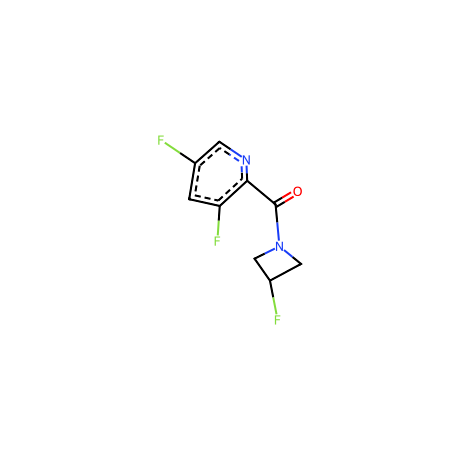 O=C(c1ncc(F)cc1F)N1CC(F)C1